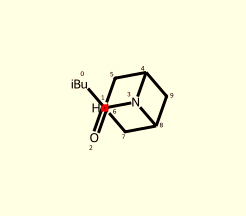 CCC(C)C(=O)N1C2CNCC1C2